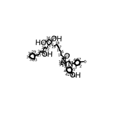 Cc1ccc(N(CC2=NCCN2C(=O)CCC/C=C\C[C@@H]2[C@@H](/C=C/[C@@H](O)CCc3ccccc3)[C@H](O)C[C@@H]2O)c2cccc(O)c2)cc1